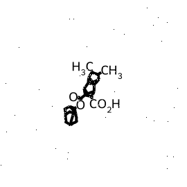 CC1C(C)C2CC1C1C3CC(C(C(=O)OC4C5CC6CC(C5)CC4C6)C3C(=O)O)C21